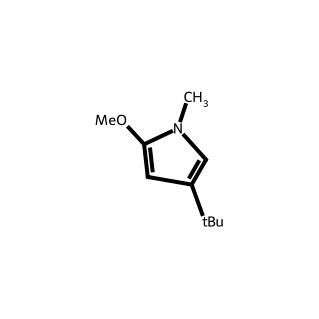 COc1cc(C(C)(C)C)cn1C